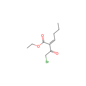 CCCC=C(C(=O)CBr)C(=O)OCC